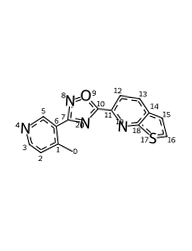 Cc1ccncc1-c1noc(-c2ccc3ccsc3n2)n1